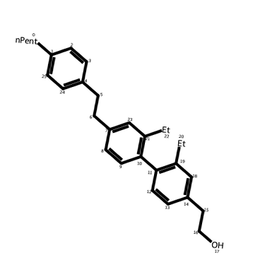 CCCCCc1ccc(CCc2ccc(-c3ccc(CCO)cc3CC)c(CC)c2)cc1